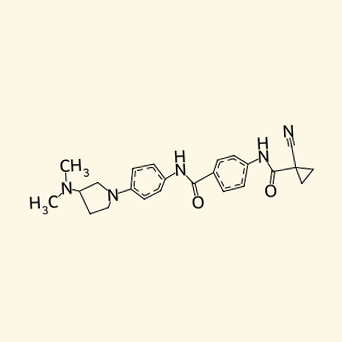 CN(C)C1CCN(c2ccc(NC(=O)c3ccc(NC(=O)C4(C#N)CC4)cc3)cc2)C1